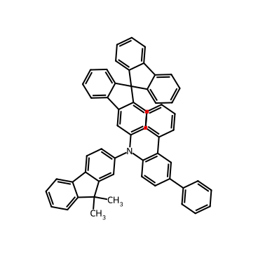 CC1(C)c2ccccc2-c2ccc(N(c3ccc4c(c3)-c3ccccc3C43c4ccccc4-c4ccccc43)c3ccc(-c4ccccc4)cc3-c3ccccc3)cc21